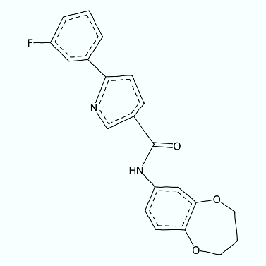 O=C(Nc1ccc2c(c1)OCCCO2)c1ccc(-c2cccc(F)c2)nc1